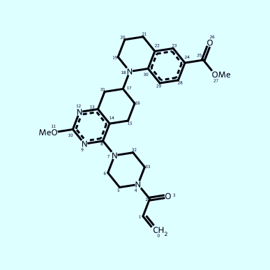 C=CC(=O)N1CCN(c2nc(OC)nc3c2CCC(N2CCCc4cc(C(=O)OC)ccc42)C3)CC1